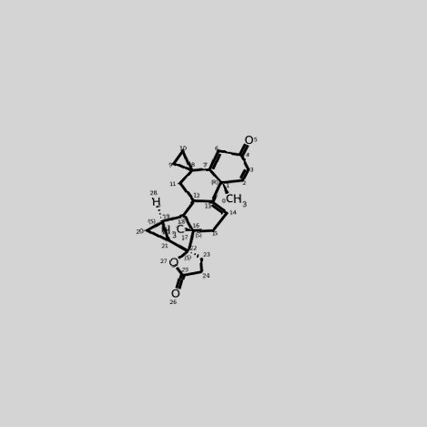 C[C@]12C=CC(=O)C=C1C1(CC1)CC1C2=CC[C@@]2(C)C1[C@@H]1CC1[C@@]21CCC(=O)O1